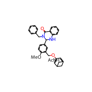 COc1ccc(C2Nc3ccccc3C(=O)N2Cc2ccccc2)cc1COC1=CC2CC(=C1)C2NC(C)=O